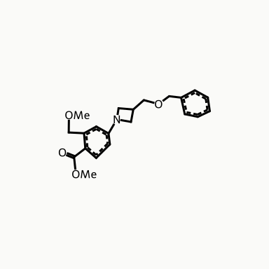 COCc1cc(N2CC(COCc3ccccc3)C2)ccc1C(=O)OC